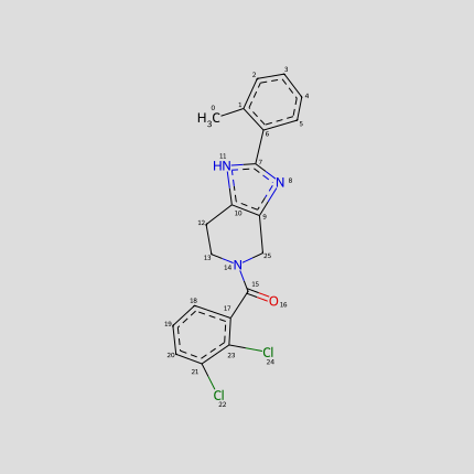 Cc1ccccc1-c1nc2c([nH]1)CCN(C(=O)c1cccc(Cl)c1Cl)C2